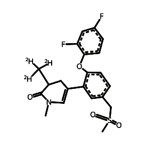 [2H]C([2H])([2H])C1CC(c2cc(CS(C)(=O)=O)ccc2Oc2ccc(F)cc2F)=CN(C)C1=O